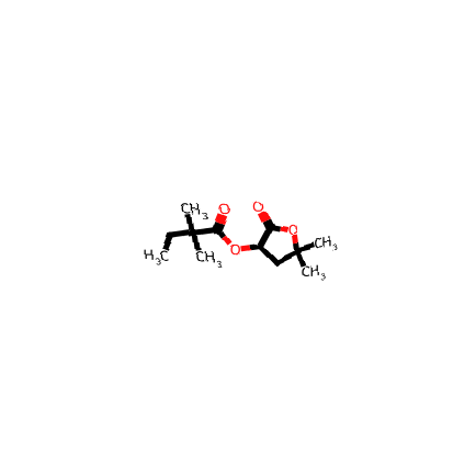 CCC(C)(C)C(=O)OC1CC(C)(C)OC1=O